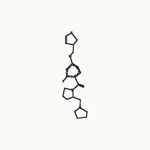 O=C(c1ccc(OCC2C=CSC2)cc1F)N1CCCC1CN1CCCC1